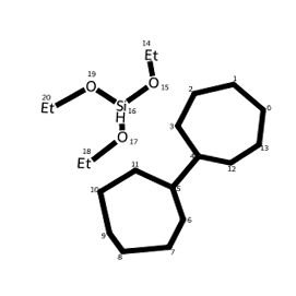 C1CCCC(C2CCCCCC2)CC1.CCO[SiH](OCC)OCC